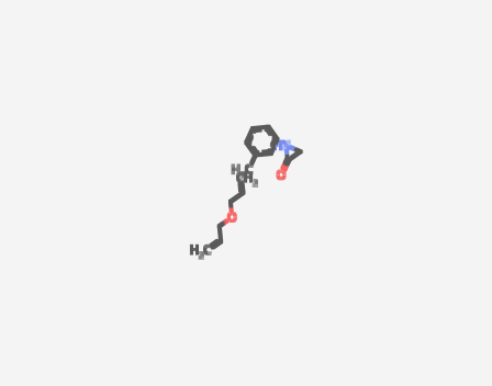 C=CCOCC=C.Cc1ccccc1.O=C1CN1